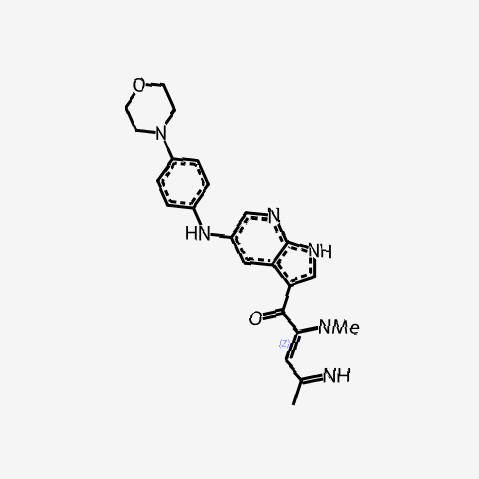 CN/C(=C\C(C)=N)C(=O)c1c[nH]c2ncc(Nc3ccc(N4CCOCC4)cc3)cc12